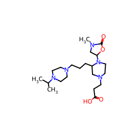 CC(C)N1CCN(CCCC2CN(CCC(=O)O)CCN2C2CN(C)C(=O)O2)CC1